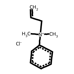 C=CC[N+](C)(C)c1ccccc1.[Cl-]